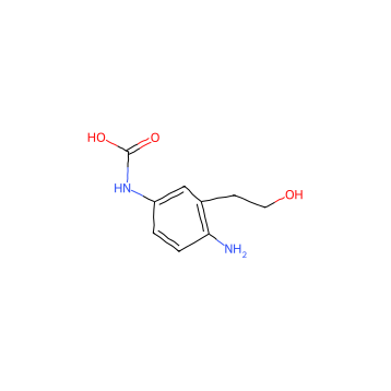 Nc1ccc(NC(=O)O)cc1CCO